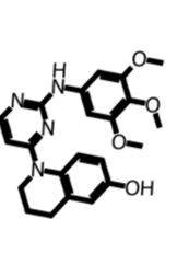 COc1cc(Nc2nccc(N3CCCc4cc(O)ccc43)n2)cc(OC)c1OC